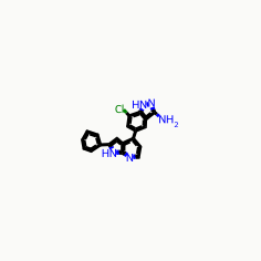 Nc1n[nH]c2c(Cl)cc(-c3ccnc4[nH]c(-c5ccccc5)cc34)cc12